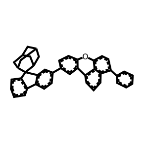 c1ccc(-c2ccc3c4c(cccc24)-c2cc(-c4ccc5c(c4)C4(c6ccccc6-5)C5CC6CC(C5)CC4C6)ccc2O3)cc1